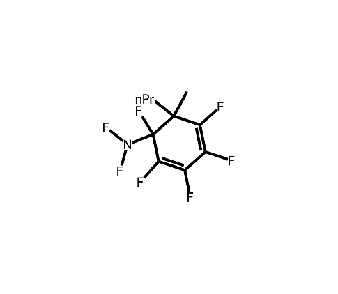 CCCC1(C)C(F)=C(F)C(F)=C(F)C1(F)N(F)F